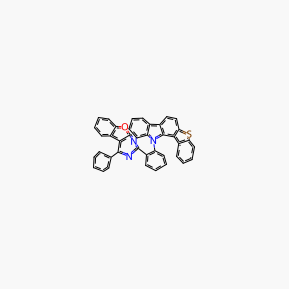 c1ccc(-c2nc(-c3ccccc3-n3c4ccccc4c4ccc5sc6ccccc6c5c43)nc3oc4ccccc4c23)cc1